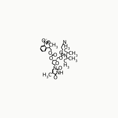 Cc1cn([C@H]2C[C@H](OC(=O)OCC(C)c3ccccc3[N+](=O)[O-])[C@@H](COP(OCCC#N)N(C(C)C)C(C)C)O2)c(=O)[nH]c1=O